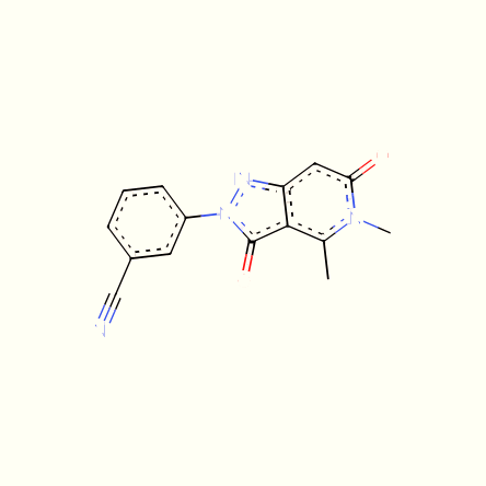 Cc1c2c(=O)n(-c3cccc(C#N)c3)[nH]c2cc(=O)n1C